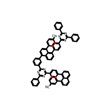 N#Cc1ccc(-c2ccc(-c3cccc(-c4nc(-c5ccccc5)nc(-c5ccc(-c6cccc7cccc(-c8cccc(C#N)c8)c67)cc5)n4)c3)c3cccc(-c4ccc(-c5nc(-c6ccccc6)nc(-c6ccccc6)n5)cc4)c23)cc1